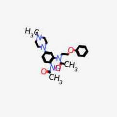 CC(=O)Nc1ccc(N2CCN(C)CC2)cc1N(CCOc1ccccc1)C(C)=O